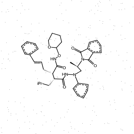 CC(C)C[C@@H](C(=O)NN(C[C@@H](C)N1C(=O)c2ccccc2C1=O)c1ccccc1)[C@H](CC=Cc1ccccc1)C(=O)NOC1CCCCO1